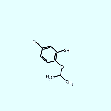 CC(C)Oc1ccc(Cl)cc1S